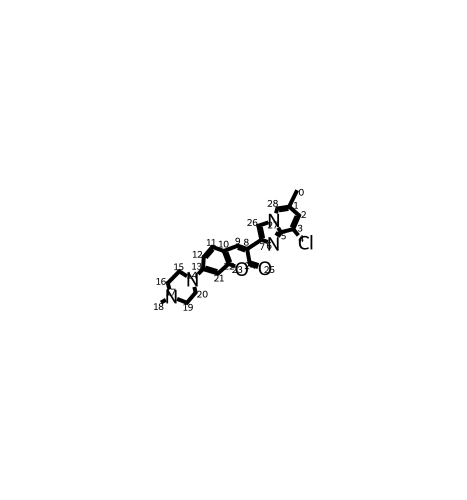 Cc1cc(Cl)c2nc(-c3cc4ccc(N5CCN(C)CC5)cc4oc3=O)cn2c1